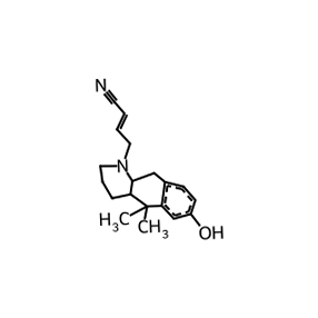 CC1(C)c2cc(O)ccc2CC2C1CCCN2CC=CC#N